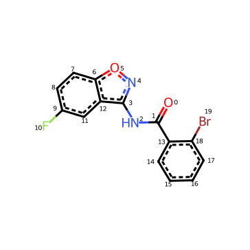 O=C(Nc1noc2ccc(F)cc12)c1ccccc1Br